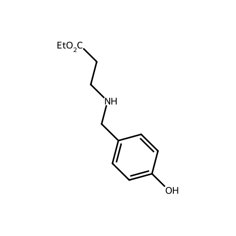 CCOC(=O)CCNCc1ccc(O)cc1